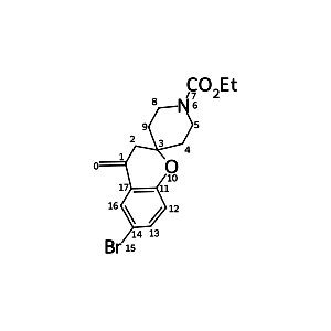 C=C1CC2(CCN(C(=O)OCC)CC2)Oc2ccc(Br)cc21